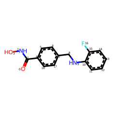 O=C(NO)c1ccc(CNc2ccccc2F)cc1